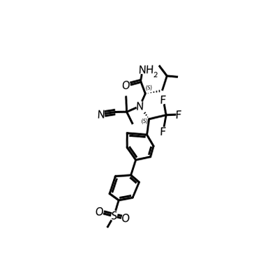 CC(C)C[C@@H](C(N)=O)N([C@@H](c1ccc(-c2ccc(S(C)(=O)=O)cc2)cc1)C(F)(F)F)C(C)(C)C#N